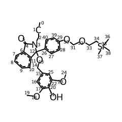 CCCN1C(=O)c2ccccc2C1(OCc1cc(OC)c(O)c(OC)c1)c1ccc(OCOCC[Si](C)(C)C)cc1